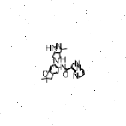 Cc1n[nH]c2c1CN(c1cc3c(cc1NC(=O)c1cnn4cccnc14)CC(C)(C)O3)C2